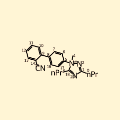 CCCC1=N[N+](C)(c2ccc(-c3ccccc3C#N)cc2)C(CCC)=N1